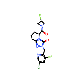 O=C(C1CCCc2nn(Cc3ncc(Cl)cc3F)c(=O)n21)N1CC(F)C1